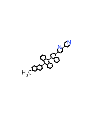 Cc1ccc2cc(-c3c4ccccc4c(-c4ccc(-c5ccc(-c6ccncc6)nc5)c5ccccc45)c4ccccc34)ccc2c1